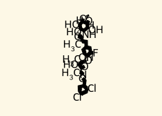 CC(=Cc1ccc(O[C@@H]2O[C@H](C(C)=NOCc3ccc(Cl)cc3Cl)[C@@H](O)[C@]2(C)O)c(F)c1)C(=O)N[C@@H]1[C@H](O)[C@@H](O)[C@H]2OCO[C@H]2[C@@H]1O